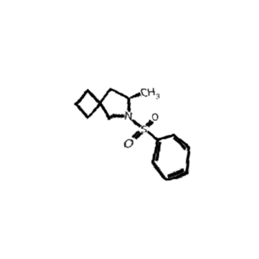 C[C@@H]1CC2(CCC2)CN1S(=O)(=O)c1ccccc1